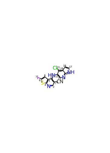 N#Cc1cnc2sc(I)cc2c1Nc1cnc2[nH]ccc2c1Cl